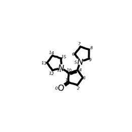 O=C1CCC(N2CCCC2)=C1N1CCCC1